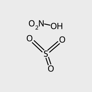 O=S(=O)=O.O=[N+]([O-])O